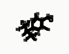 Cc1cc(C(C)(C(C)(F)F)C(F)(F)F)cc(C)c1C=O